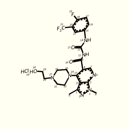 Cc1nn(C)c2ncc(C(=O)NC(=O)Nc3ccc(F)c(C(F)(F)F)c3)c(N3CCN(CCO)CC3)c12.Cl